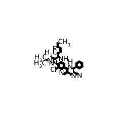 C=C(/C=C\C(F)=C/C)[C@H](Nc1cc(Cl)c2ncc(C#N)c(N[C@H](CC#N)c3ccccc3)c2c1)c1cn(C(C)C)nn1